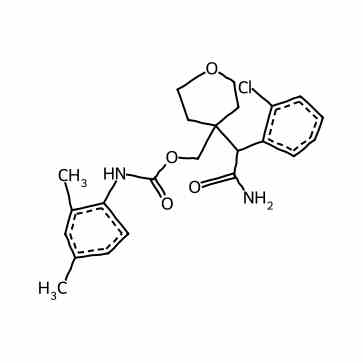 Cc1ccc(NC(=O)OCC2(C(C(N)=O)c3ccccc3Cl)CCOCC2)c(C)c1